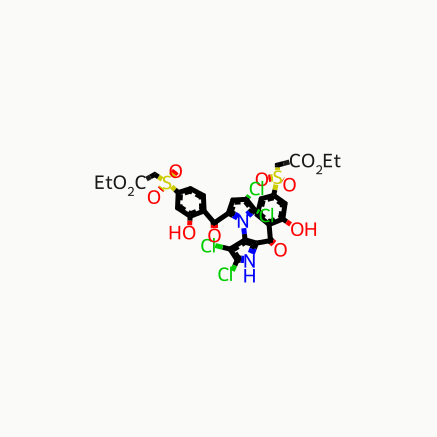 CCOC(=O)CS(=O)(=O)c1ccc(C(=O)c2[nH]c(Cl)c(Cl)c2-n2c(C(=O)c3ccc(S(=O)(=O)CC(=O)OCC)cc3O)cc(Cl)c2Cl)c(O)c1